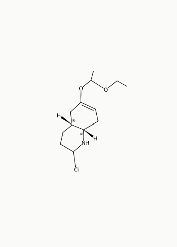 CCOC(C)OC1=CC[C@@H]2NC(Cl)CC[C@@H]2C1